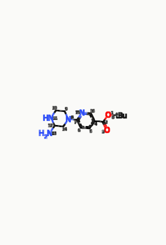 CC(C)(C)OC(=O)c1ccc(N2CCNC(N)C2)nc1